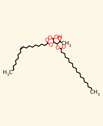 CCCCCCCC/C=C\CCCCCCCC(=O)OC(C(=O)O)C(OC(=O)CCCCCCCCCCCCCCCCC)C(C)=O